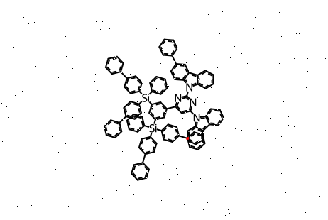 c1ccc(-c2ccc([Si](c3ccccc3)(c3ccc(-c4ccccc4)cc3)c3cc(-c4cc(-n5c6ccccc6c6ccccc65)nc(-n5c6ccccc6c6cc(-c7ccccc7)ccc65)n4)cc([Si](c4ccccc4)(c4ccc(-c5ccccc5)cc4)c4ccc(-c5ccccc5)cc4)c3)cc2)cc1